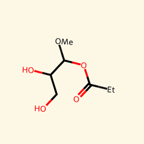 [CH2]OC(OC(=O)CC)C(O)CO